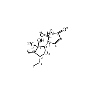 CC[C@H]1O[C@@H](n2ccc(=O)[nH]c2=O)[C@@]([13CH3])(O)[C@@H]1C